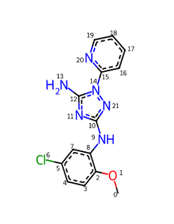 COc1ccc(Cl)cc1Nc1nc(N)n(-c2ccccn2)n1